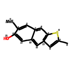 CSc1cc2cc3sc(C)cc3cc2cc1O